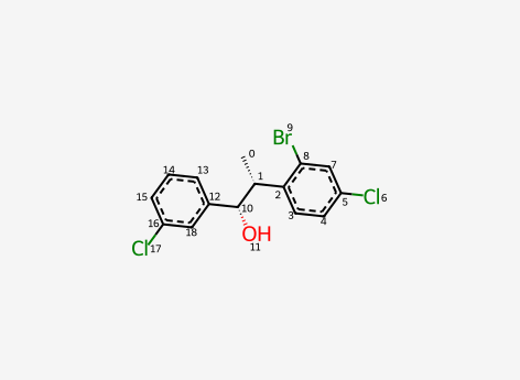 C[C@H](c1ccc(Cl)cc1Br)[C@H](O)c1cccc(Cl)c1